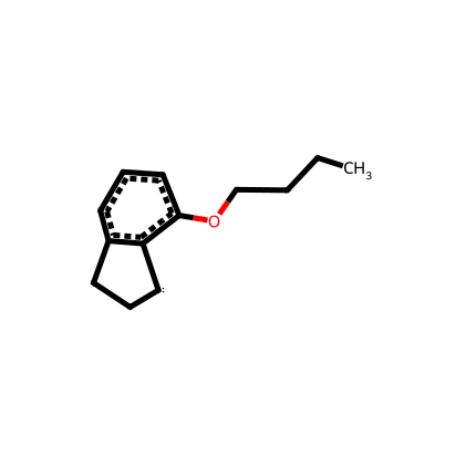 CCCCOc1cccc2c1[C]CC2